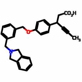 CC#CC(CC(=O)O)c1ccc(OCc2cccc(CN3Cc4ccccc4C3)c2)cc1